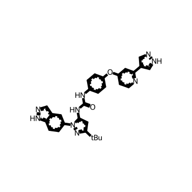 CC(C)(C)c1cc(NC(=O)Nc2ccc(Oc3ccnc(-c4cn[nH]c4)c3)cc2)n(-c2ccc3[nH]ncc3c2)n1